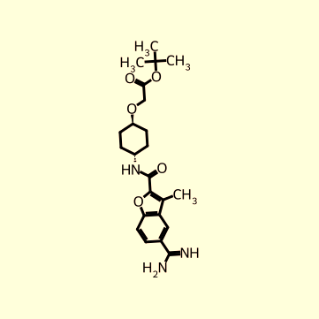 Cc1c(C(=O)N[C@H]2CC[C@H](OCC(=O)OC(C)(C)C)CC2)oc2ccc(C(=N)N)cc12